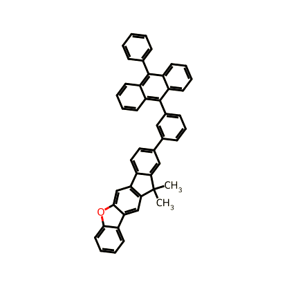 CC1(C)c2cc(-c3cccc(-c4c5ccccc5c(-c5ccccc5)c5ccccc45)c3)ccc2-c2cc3oc4ccccc4c3cc21